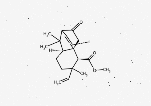 C=CC1(C)CC[C@H]2C(C)(C)C3C=C(I)[C@]2(CC3=O)[C@H]1C(=O)OC